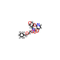 O=S1(=O)c2cccnc2OC2(CCOCC2)CN1OCCOCc1ccccc1